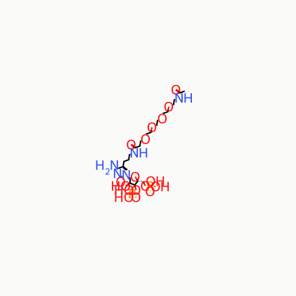 CC(=O)NCCOCCOCCOCCOCCC(=O)NCCCc1cn([C@@H]2O[C@H](COP(=O)(O)O)C(OP(=O)(O)O)C2O)c(=O)nc1N